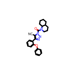 N#Cc1c(-c2ccccc2Oc2ccccc2)nnn1C(=O)N1CCCC2CCCCC21